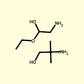 CC(C)(N)CO.CCOC(O)CN